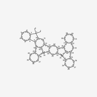 CC1(C)c2ccccc2-c2c1cc1c3cc4c5c6ccccc6cc6c7ccccc7n(c4cc3n3c4ccccc4c2c13)c65